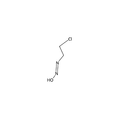 ON=NCCCl